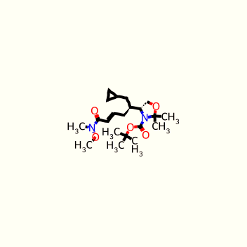 CON(C)C(=O)/C=C/C[C@@H](CC1CC1)[C@@H]1COC(C)(C)N1C(=O)OC(C)(C)C